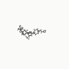 CC(C)c1cc(N2CCN(CCCl)CC2)nn1-c1ccc(OC(F)(F)F)nc1